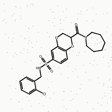 O=C(C1COc2cc(S(=O)(=O)NCc3ccccc3Cl)ccc2O1)N1CCCCCC1